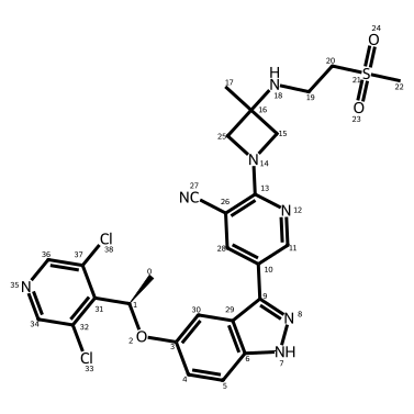 C[C@@H](Oc1ccc2[nH]nc(-c3cnc(N4CC(C)(NCCS(C)(=O)=O)C4)c(C#N)c3)c2c1)c1c(Cl)cncc1Cl